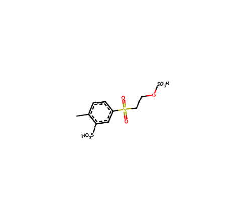 Cc1ccc(S(=O)(=O)CCOS(=O)(=O)O)cc1S(=O)(=O)O